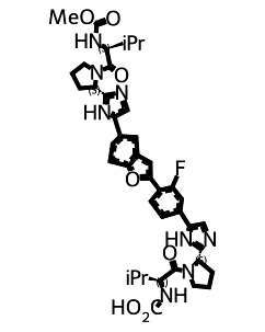 COC(=O)N[C@H](C(=O)N1CCC[C@H]1c1ncc(-c2ccc3oc(-c4ccc(-c5cnc([C@@H]6CCCN6C(=O)[C@@H](NC(=O)O)C(C)C)[nH]5)cc4F)cc3c2)[nH]1)C(C)C